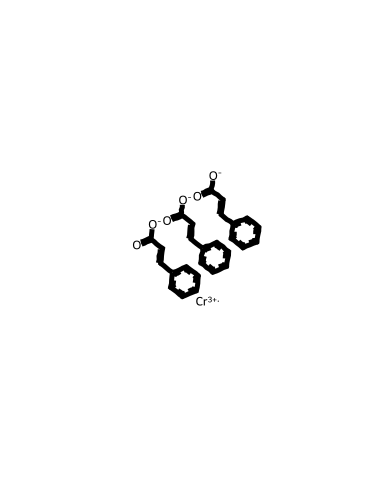 O=C([O-])C=Cc1ccccc1.O=C([O-])C=Cc1ccccc1.O=C([O-])C=Cc1ccccc1.[Cr+3]